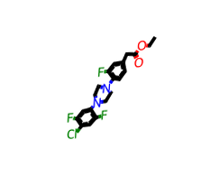 CCOC(=O)Cc1ccc(N2CCN(c3cc(F)c(Cl)cc3F)CC2)c(F)c1